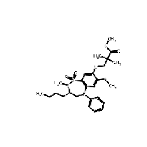 CCCC[C@@H]1CN(c2ccccc2)c2cc(SC)c(OCC(C)(C)C(=O)OC)cc2S(=O)(=O)N1C